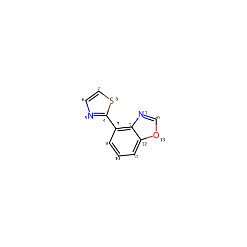 [c]1nc2c(-c3nccs3)cccc2o1